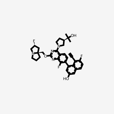 C#Cc1c(F)ccc2cc(O)cc(-c3ccc4c(N5CC[C@@H](C(C)(C)O)C5)nc(OC[C@@]56CCCN5C[C@H](F)C6)nc4c3F)c12